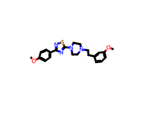 COc1ccc(-c2nsc(N3CCN(CCc4cccc(OC)c4)CC3)n2)cc1